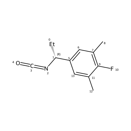 CC[C@@H](N=C=O)c1cc(C)c(F)c(C)c1